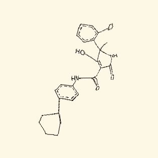 CC1(c2ccccc2Cl)NC(=O)C(C(=O)Nc2ccc(C3CCCCC3)cc2)=C1O